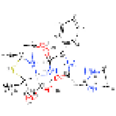 CC1(C)S[C@@H]2CC(=O)N2[C@@]1(NC(=O)C(NC(=O)CC1NCCN1)c1ccccc1)C(=O)O